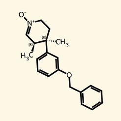 C[C@H]1C=[N+]([O-])CC[C@@]1(C)c1cccc(OCc2ccccc2)c1